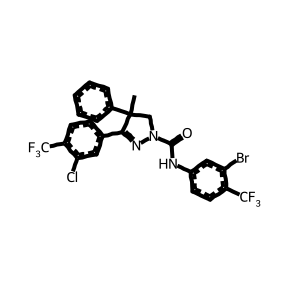 CC1(c2ccccc2)CN(C(=O)Nc2ccc(C(F)(F)F)c(Br)c2)N=C1c1ccc(C(F)(F)F)c(Cl)c1